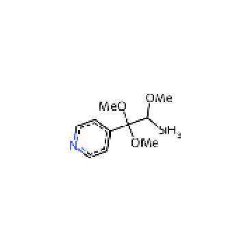 COC([SiH3])C(OC)(OC)c1ccncc1